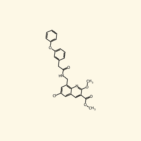 COC(=O)c1cc2cc(Cl)cc(CNC(=O)Cc3cccc(Oc4ccccc4)c3)c2nc1OC